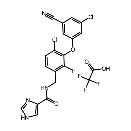 N#Cc1cc(Cl)cc(Oc2c(Cl)ccc(CNC(=O)c3c[nH]cn3)c2F)c1.O=C(O)C(F)(F)F